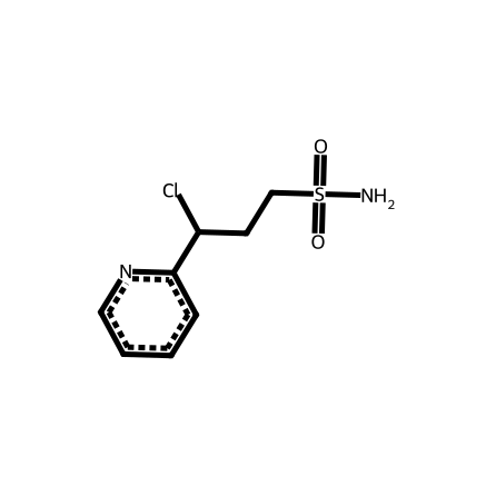 NS(=O)(=O)CCC(Cl)c1ccccn1